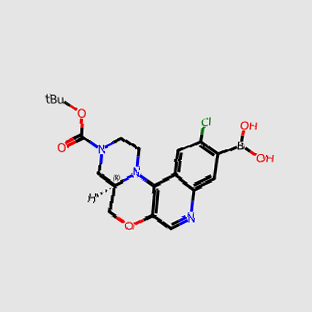 CC(C)(C)OC(=O)N1CCN2c3c(cnc4cc(B(O)O)c(Cl)cc34)OC[C@H]2C1